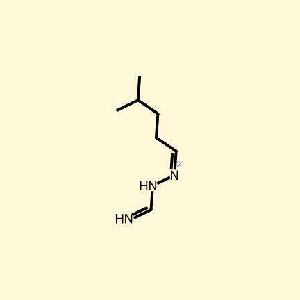 CC(C)CC/C=N\NC=N